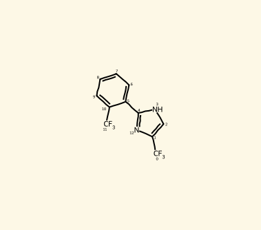 FC(F)(F)c1c[nH]c(-c2ccccc2C(F)(F)F)n1